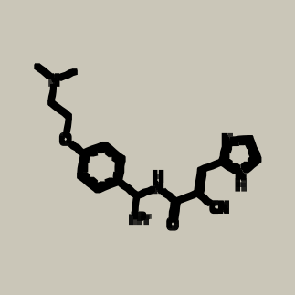 CCCC(NC(=O)C(C#N)=Cc1ncc[nH]1)c1ccc(OCCN(C)C)cc1